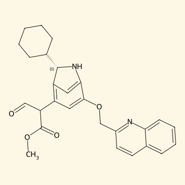 COC(=O)C(C=O)c1cc(OCc2ccc3ccccc3n2)c2cc1[C@H](C1CCCCC1)N2